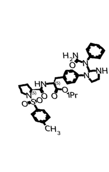 Cc1ccc(S(=O)(=O)N2CCC[C@H]2C(=O)N[C@@H](Cc2ccc(N3CCNC3N(C(N)=O)c3ccccc3)cc2)C(=O)OC(C)C)cc1